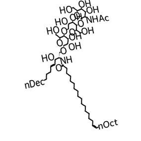 CCCCCCCC/C=C\CCCCCCCCCCCCCCCC(=O)N[C@@H](CO[C@@H]1OC(CO)[C@@H](O[C@@H]2OC(CO)[C@@H](O[C@@H]3OC(CO)[C@@H](O)[C@H](O)C3NC(C)=O)[C@H](O)C2O)[C@H](O)C1O)[C@H](O)/C=C/CCCCCCCCCCCCC